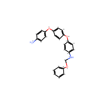 Nc1ccc(Oc2ccc(Oc3ccc(NCOc4ccccc4)cc3)cc2)cc1